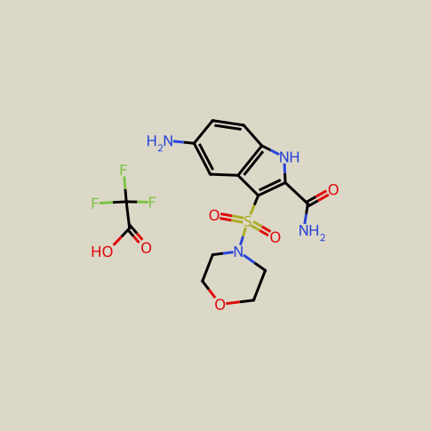 NC(=O)c1[nH]c2ccc(N)cc2c1S(=O)(=O)N1CCOCC1.O=C(O)C(F)(F)F